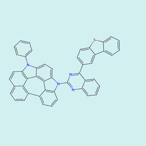 c1ccc(-n2c3ccc4cccc5c4c3c3c4c6c-5cccc6n(-c5nc(-c6ccc7sc8ccccc8c7c6)c6ccccc6n5)c4ccc32)cc1